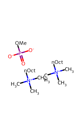 CCCCCCCC[N+](C)(C)C.CCCCCCCC[N+](C)(C)C.COP(=O)([O-])[O-]